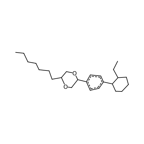 CCCCCCCC1COC(c2ccc(C3CCCCC3CC)cc2)CO1